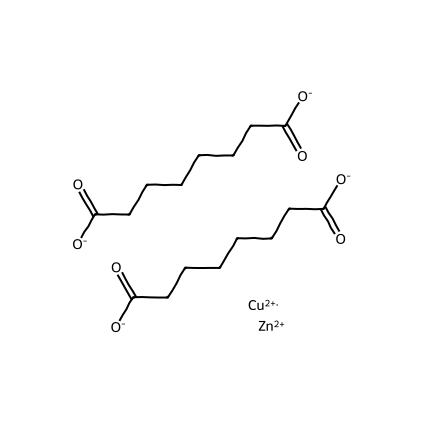 O=C([O-])CCCCCCC(=O)[O-].O=C([O-])CCCCCCC(=O)[O-].[Cu+2].[Zn+2]